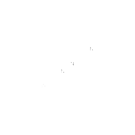 C1=CN(N2CCOCC2)CC=N1